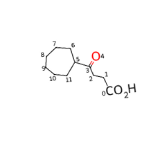 O=C(O)CCC(=O)C1CCCCCC1